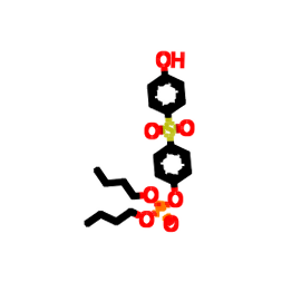 CCCCOP(=O)(OCCCC)Oc1ccc(S(=O)(=O)c2ccc(O)cc2)cc1